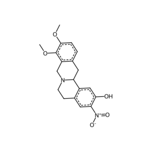 COc1ccc2c(c1OC)CN1CCc3cc([N+](=O)[O-])c(O)cc3C1C2